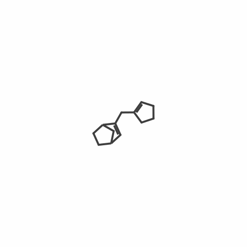 C1=C(CC2=CC3CCC2C3)CCC1